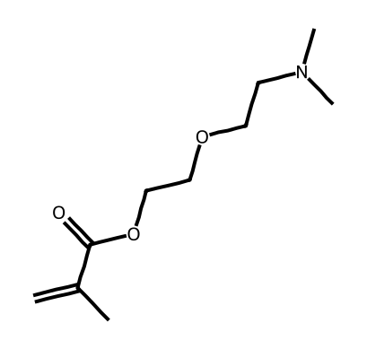 C=C(C)C(=O)OCCOCCN(C)C